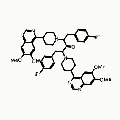 COc1cc2ncnc(C3CCN(C(Cc4ccc(C(C)C)cc4)C(=O)C(Cc4ccc(C(C)C)cc4)N4CCC(c5ncnc6cc(OC)c(OC)cc56)CC4)CC3)c2cc1OC